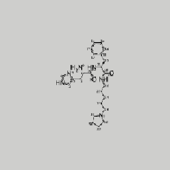 N[C@@H](Cc1c[nH]cn1)C(=O)N[C@@H](Cc1ccccc1)C(=O)NCCCCCN1CCCC1